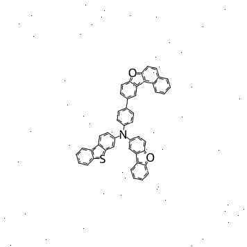 c1ccc2c(c1)ccc1oc3ccc(-c4ccc(N(c5ccc6c(c5)sc5ccccc56)c5ccc6oc7ccccc7c6c5)cc4)cc3c12